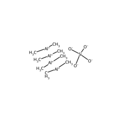 [CH3][Al+][CH3].[CH3][Al+][CH3].[CH3][Al+][CH3].[CH3][Al+][CH3].[O-][Si]([O-])([O-])[O-]